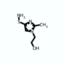 Cc1nc(SN)cn1CCO